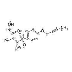 CC#CCOc1ccc(S(=O)(=O)N(CCC)C(C(=O)NO)C(C)C)cc1